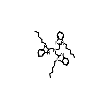 CCCCCCn1c(CN(Cc2nc3ccccc3n2CCCCCC)Cc2nc3ccccc3n2CCCCCC)nc2ccccc21